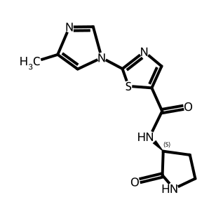 Cc1cn(-c2ncc(C(=O)N[C@H]3CCNC3=O)s2)cn1